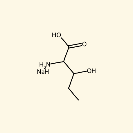 CCC(O)C(N)C(=O)O.[NaH]